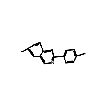 Cc1ccc(-c2cc3ccc(C)cc3cn2)cc1